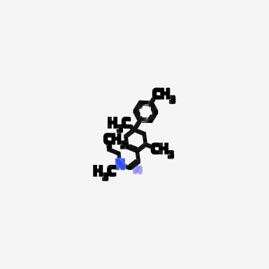 C=CCN(C)/C=C\C1=CCC(C)(c2ccc(C)cc2)CC1C